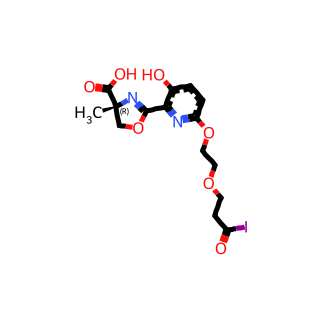 C[C@]1(C(=O)O)COC(c2nc(OCCOCCC(=O)I)ccc2O)=N1